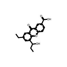 CCc1cc(C(O)CC)c2oc3ccc(C(=O)O)cc3c(=O)c2c1